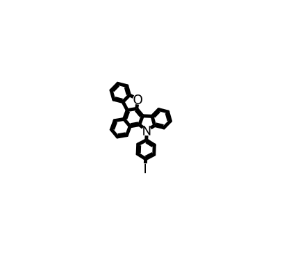 Ic1ccc(-n2c3ccccc3c3c4oc5ccccc5c4c4ccccc4c32)cc1